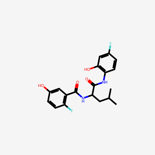 CC(C)CC(NC(=O)c1cc(O)ccc1F)C(=O)Nc1ccc(F)cc1O